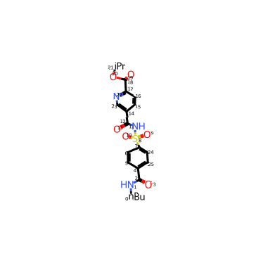 CCCCNC(=O)c1ccc(S(=O)(=O)NC(=O)c2ccc(C(=O)OC(C)C)nc2)cc1